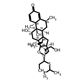 C=C[C@@]12C[C@H]3CN(C(CC)SC(C)C)O[C@@]3(C(=O)CO)[C@@]1(C)C[C@H](O)[C@@]1(C)[C@H]2C[C@H](C)C2=CC(=O)C=C[C@@]21C